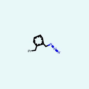 CC(C)Cc1ccccc1CN=[N+]=[N-]